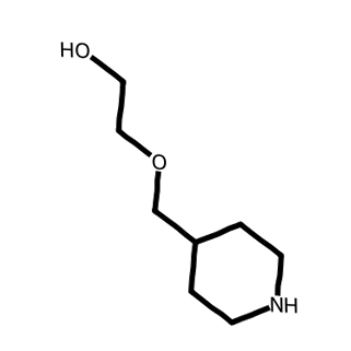 OCCOCC1CCNCC1